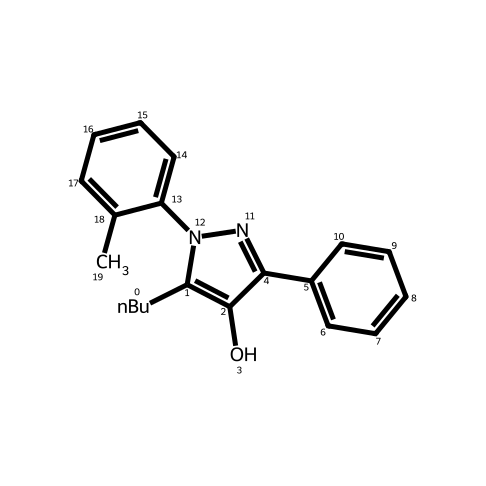 CCCCc1c(O)c(-c2ccccc2)nn1-c1ccccc1C